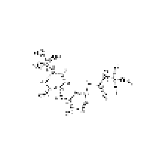 CS(=O)(=O)NC(=O)Cc1ccc(Cl)c(Oc2ccc(S(C)(=O)=O)cc2Cl)c1